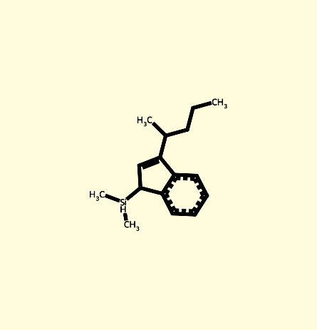 CCCC(C)C1=CC([SiH](C)C)c2ccccc21